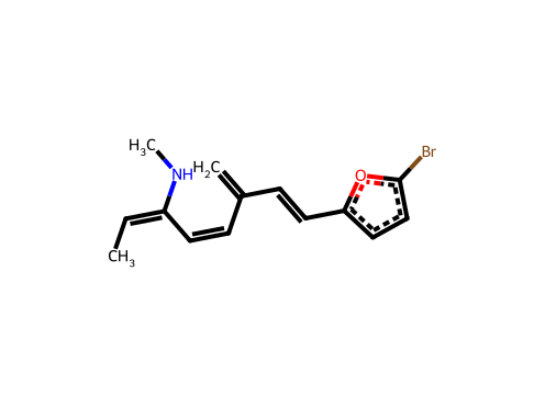 C=C(/C=C\C(=C/C)NC)/C=C/c1ccc(Br)o1